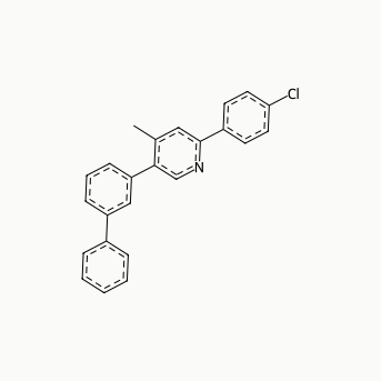 Cc1cc(-c2ccc(Cl)cc2)ncc1-c1cccc(-c2ccccc2)c1